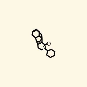 O=C1C2C(CCN1C1CCCCC1)C1CC23CC2=CCC1C3C2